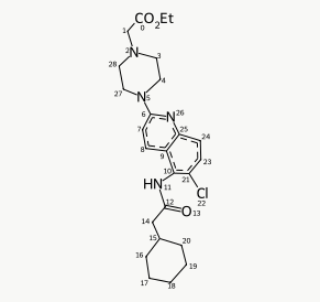 CCOC(=O)CN1CCN(c2ccc3c(NC(=O)CC4CCCCC4)c(Cl)ccc3n2)CC1